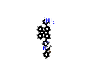 C/C=C\C(=C/N)c1ccc2c(c1)C(c1ccccc1)(c1ccccc1)c1cc(C(/C=C\C(C)=N\c3c(C)sc4ccccc34)=C/C)ccc1-2